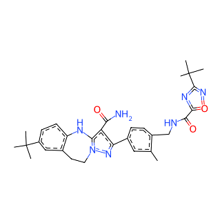 Cc1cc(-c2nn3c(c2C(N)=O)Nc2ccc(C(C)(C)C)cc2CC3)ccc1CNC(=O)c1nc(C(C)(C)C)no1